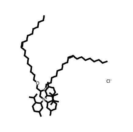 CCCCCCCC/C=C\CCCCCCCCOCC(C[N+](C1CC(C)CCC1C(C)C)(C1CC(C)CCC1C(C)C)C1CC(C)CCC1C(C)C)OCCCCCCCC/C=C\CCCCCCCC.[Cl-]